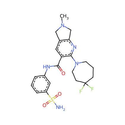 CN1Cc2cc(C(=O)Nc3cccc(S(N)(=O)=O)c3)c(N3CCCC(F)(F)CC3)nc2C1